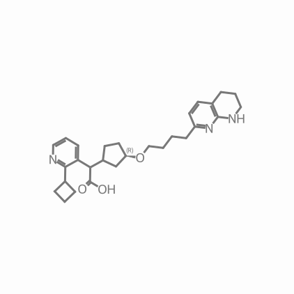 O=C(O)C(c1cccnc1C1CCC1)C1CC[C@@H](OCCCCc2ccc3c(n2)NCCC3)C1